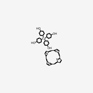 C1=CC2=NC1=CC1=NC(=CC3=NC(=CC4=NC(=C2)C=C4)C=C3)C=C1.Oc1cc[c]([Cu]([c]2ccc(O)cc2)([c]2ccc(O)cc2)[c]2ccc(O)cc2)cc1